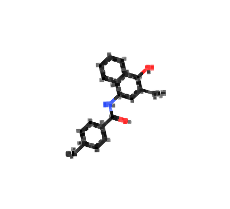 O=C(Nc1cc(S(=O)(=O)O)c(O)c2ccccc12)c1ccc([N+](=O)[O-])cc1